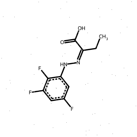 CCC(=NNc1cc(F)cc(F)c1F)C(=O)O